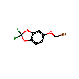 FC1(F)Oc2ccc(OCS)cc2O1